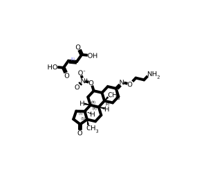 C[C@]12CCC(=NOCCN)CC1C(O[N+](=O)[O-])C[C@@H]1[C@H]2CC[C@]2(C)C(=O)CC[C@@H]12.O=C(O)/C=C/C(=O)O